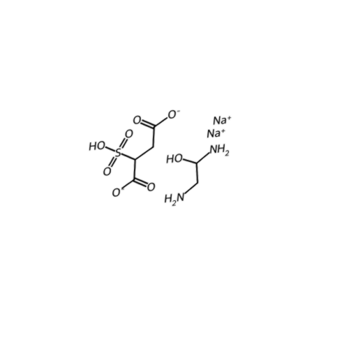 NCC(N)O.O=C([O-])CC(C(=O)[O-])S(=O)(=O)O.[Na+].[Na+]